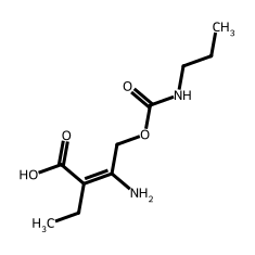 CCCNC(=O)OCC(N)=C(CC)C(=O)O